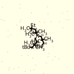 CCC(C)(C)CC(C)(C)N(CCC(C)(C)CC(C)(C)C)CC(C)(C)CC(C)(C)C